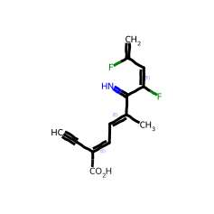 C#C/C(=C\C=C(/C)C(=N)/C(F)=C\C(=C)F)C(=O)O